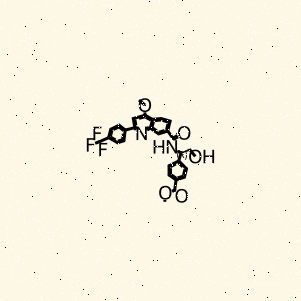 COC(=O)c1ccc([C@H](CO)NC(=O)c2ccc3c(OC)cc(-c4ccc(C(F)(F)F)cc4)nc3c2)cc1